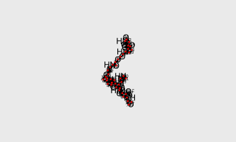 O=C(CCOCCOCCNc1cccc2c1C(=O)N(C1CCC(=O)NC1=O)C2=O)NCCN1CC(COc2cccc(-c3ccc(Cl)cc3)c2CN2CCN(c3ccc(C(=O)NS(=O)(=O)c4ccc(NCC5CCOCC5)c([N+](=O)[O-])c4)c(Oc4cnc5[nH]ccc5c4)c3)CC2)C1